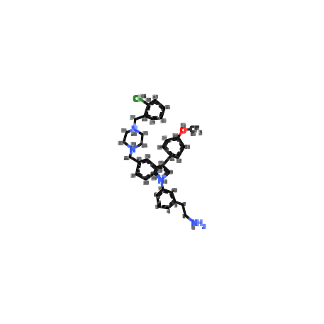 NCCc1cccc(-n2cc(-c3ccc(OC(F)(F)F)cc3)c3cc(CN4CCN(Cc5ccccc5Cl)CC4)ccc32)c1